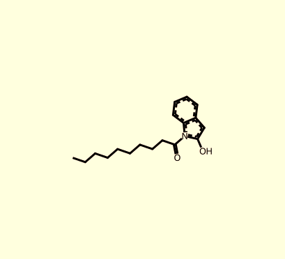 CCCCCCCCCC(=O)n1c(O)cc2ccccc21